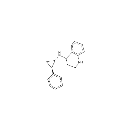 c1ccc([C@H]2C[C@@H]2NC2CCNc3ccccc32)cc1